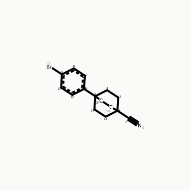 N#CC12CCC(c3ccc(Br)cc3)(CC1)CC2